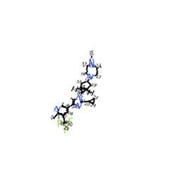 Cc1ncc(-c2cn([C@H]3[C@@H]4CC(N5CCN(C)CC5)C[C@@H]43)c(C3CC3)n2)cc1C(F)(F)F